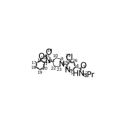 CC(C)NC(=O)c1cnc(N2CCC(n3c(=O)oc4ccccc43)CC2)c(Cl)c1